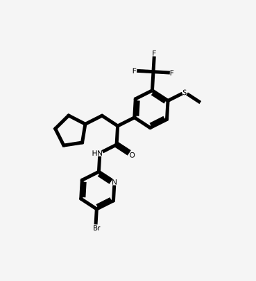 CSc1ccc(C(CC2CCCC2)C(=O)Nc2ccc(Br)cn2)cc1C(F)(F)F